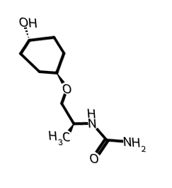 C[C@@H](CO[C@H]1CC[C@H](O)CC1)NC(N)=O